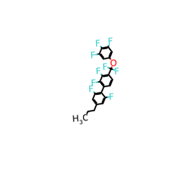 CCCc1cc(F)c(-c2ccc(C(F)(F)Oc3cc(F)c(F)c(F)c3)c(F)c2F)c(F)c1